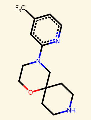 FC(F)(F)c1ccnc(N2CCOC3(CCNCC3)C2)c1